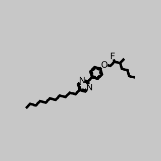 CCCCCCCCCCCc1cnc(-c2ccc(OCC(F)C(C)CCCC)cc2)nc1